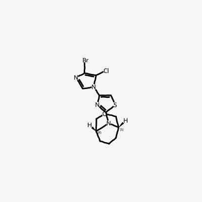 Clc1c(Br)ncn1-c1csc(N2[C@@H]3CCC[C@H]2COC3)n1